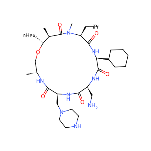 CCCCCC[C@H]1OC[C@@H](C)NC(=O)[C@H](CN2CCNCC2)NC(=O)[C@H](CN)NC(=O)[C@H](C2CCCCC2)NC(=O)[C@H](CC(C)C)N(C)C(=O)[C@@H]1C